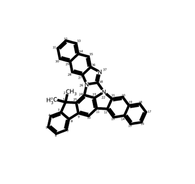 CC1(C)c2ccccc2-c2cc3c4cc5ccccc5cc4n4c3c(c21)n1c2cc3ccccc3cc2nc14